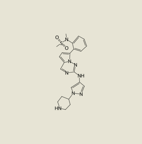 CN(c1ccccc1-c1ccc2cnc(Nc3cnn(C4CCNCC4)c3)nn12)S(C)(=O)=O